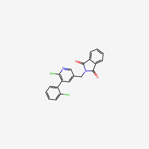 O=C1c2ccccc2C(=O)N1Cc1cnc(Cl)c(-c2ccccc2Cl)c1